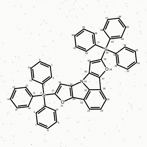 c1ccc([Si](c2ccccc2)(c2ccccc2)c2cc3c(o2)c2cccc4c5oc([Si](c6ccccc6)(c6ccccc6)c6ccccc6)cc5n3c24)cc1